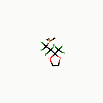 CS(C)(C)C(F)(F)C(F)(F)C1(C(F)(F)F)OCCO1